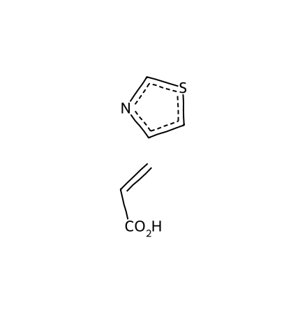 C=CC(=O)O.c1cscn1